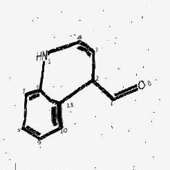 O=CC1C=CNc2ccccc21